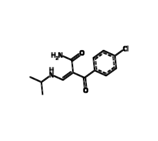 CC(C)N/C=C(\C(N)=O)C(=O)c1ccc(Cl)cc1